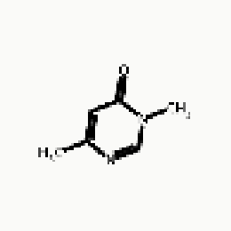 Cc1cc(=O)n(C)cn1